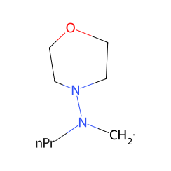 [CH2]N(CCC)N1CCOCC1